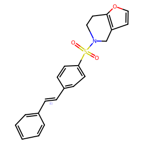 O=S(=O)(c1ccc(/C=C/c2ccccc2)cc1)N1CCc2occc2C1